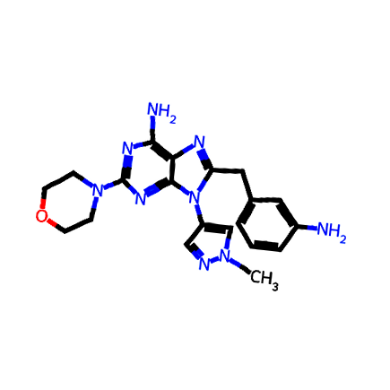 Cn1cc(-n2c(Cc3cccc(N)c3)nc3c(N)nc(N4CCOCC4)nc32)cn1